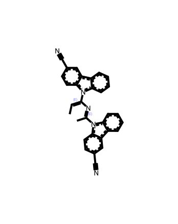 C/C=C(\N=C(/C)n1c2ccccc2c2cc(C#N)ccc21)n1c2ccccc2c2cc(C#N)ccc21